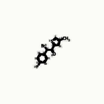 Cc1csc(C(=O)C(Br)c2ccc(F)cc2)c1